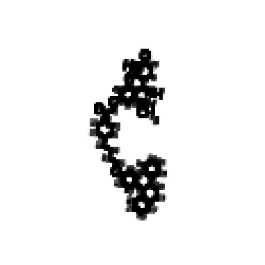 CNc1cc(OCC(=O)N2CCC(CCCCOc3ccc(C4c5ccccc5CCC4c4ccccc4)cc3)CC2)ccc1C(=N)C1CCC(=O)NC1=O